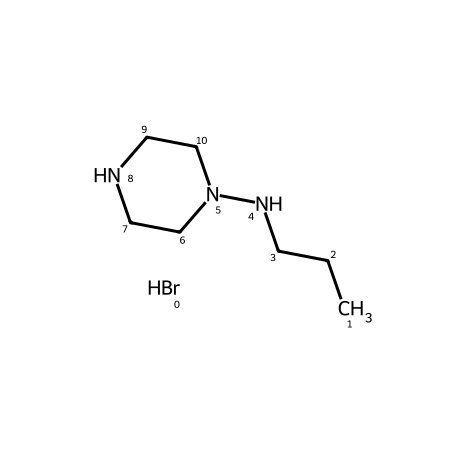 Br.CCCNN1CCNCC1